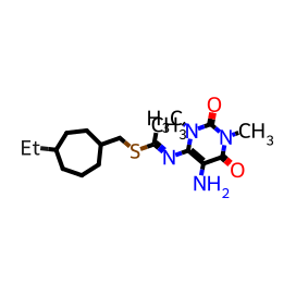 CCC1CCCC(CS/C(C)=N/c2c(N)c(=O)n(C)c(=O)n2C)CC1